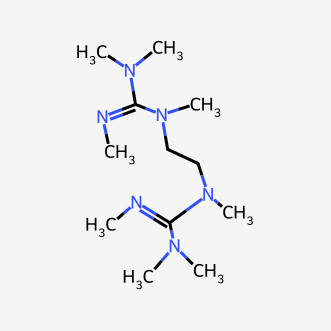 CN=C(N(C)C)N(C)CCN(C)C(=NC)N(C)C